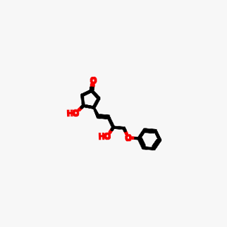 O=C1CC(O)[C@H](/C=C/C(O)COc2ccccc2)C1